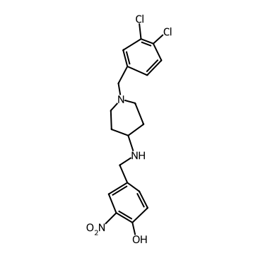 O=[N+]([O-])c1cc(CNC2CCN(Cc3ccc(Cl)c(Cl)c3)CC2)ccc1O